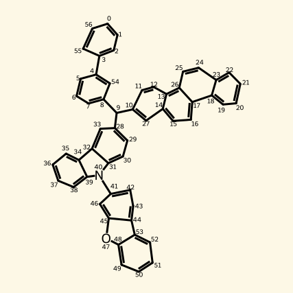 c1ccc(-c2cccc(C(c3ccc4c(ccc5c6ccccc6ccc45)c3)c3ccc4c(c3)c3ccccc3n4-c3ccc4c(c3)oc3ccccc34)c2)cc1